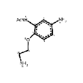 CC(=O)Nc1cc(N)ccc1OCCN